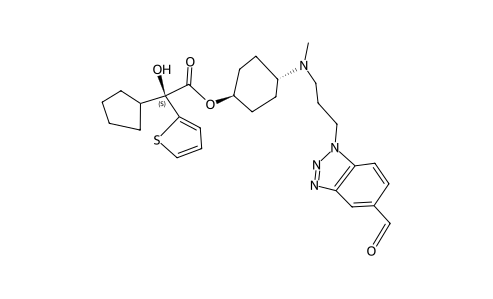 CN(CCCn1nnc2cc(C=O)ccc21)[C@H]1CC[C@H](OC(=O)[C@](O)(c2cccs2)C2CCCC2)CC1